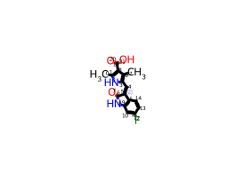 Cc1[nH]c(/C=C2\C(=O)Nc3cc(F)ccc32)c(C)c1C(=O)O